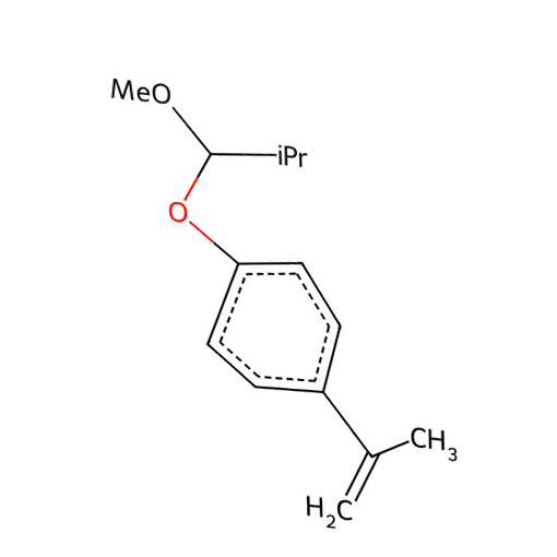 C=C(C)c1ccc(OC(OC)C(C)C)cc1